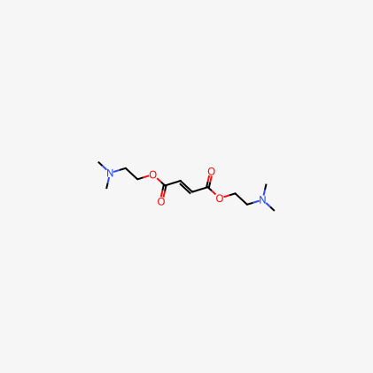 CN(C)CCOC(=O)/C=C/C(=O)OCCN(C)C